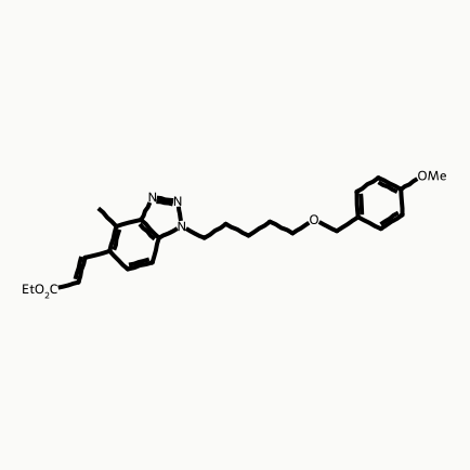 CCOC(=O)/C=C/c1ccc2c(nnn2CCCCCOCc2ccc(OC)cc2)c1C